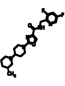 C[C@@H]1CCCN(C2CCN(c3nc(C(=O)NCc4ncc(F)cc4F)co3)CC2)C1